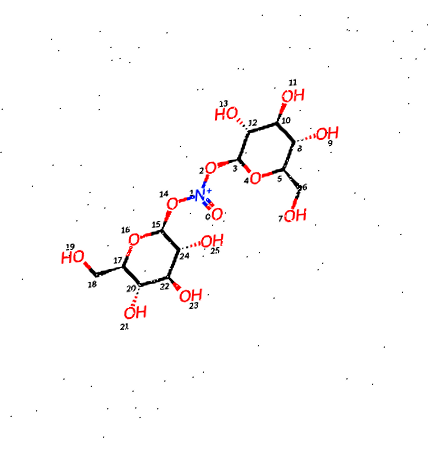 O=[N+](O[C@@H]1O[C@H](CO)[C@@H](O)[C@H](O)[C@H]1O)O[C@@H]1O[C@H](CO)[C@@H](O)[C@H](O)[C@H]1O